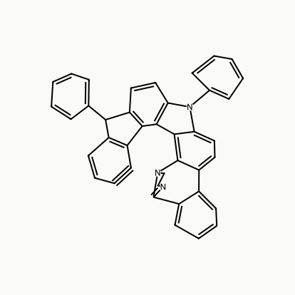 c1ccc2c(c#1)-c1c(ccc3c1c1c4c(ccc1n3-c1ccccc1)-c1ccccc1C1=NCCN14)C2c1ccccc1